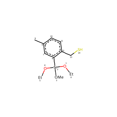 CCO[Si](OC)(OCC)c1cc(C)ccc1CS